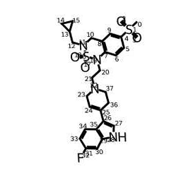 CS(=O)(=O)c1ccc2c(c1)CN(CC1CC1)S(=O)(=O)N2CCN1CC=C(c2c[nH]c3cc(F)ccc23)CC1